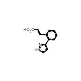 O=C(O)C=Cc1ccccc1-c1cc[nH]n1